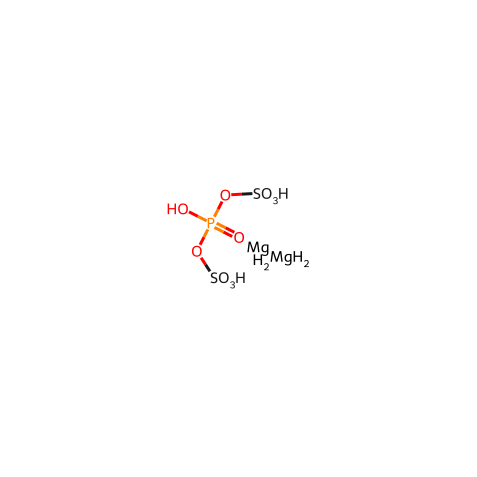 O=P(O)(OS(=O)(=O)O)OS(=O)(=O)O.[MgH2].[MgH2]